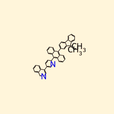 CC1(C)c2ccccc2-c2ccc(-c3c4ccccc4c(-c4ccc(-c5cncc6ccccc56)cn4)c4ccccc34)cc21